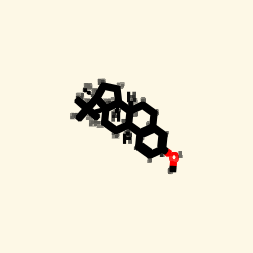 COc1ccc2c(c1)CC[C@@H]1[C@@H]2CC[C@@]2(C)[C@H]1CC[C@]2(C)C(C)(C)C